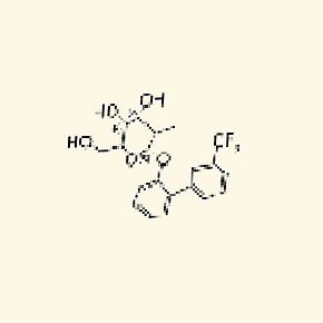 CC1[C@H](Oc2ccccc2-c2cccc(C(F)(F)F)c2)OC(CO)[C@H](O)[C@@H]1O